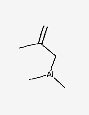 C=C(C)[CH2][Al]([CH3])[CH3]